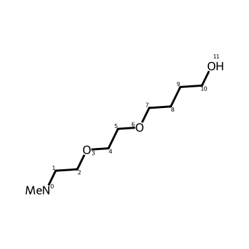 CNCCOCCOCCCCO